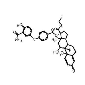 C[C@]12C=CC(=O)C=C1CCC1C3CC[C@](OC(=O)c4ccc(Oc5ccc(O)c(C(N)=O)c5)cc4)(C(=O)SCF)[C@@]3(C)C[C@H](O)C12F